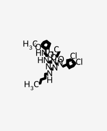 CCCCCNc1nc(NC(=O)Nc2ccccc2OC)nc(N(Cc2ccc(Cl)c(Cl)c2)OC(=O)CC)n1